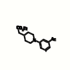 CCOC(=O)CC1CCN(c2c[c]cc(C(C)=O)c2)CC1